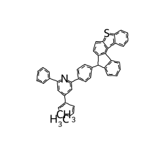 C/C=C\C(=C/C)c1cc(-c2ccccc2)nc(-c2ccc(C3c4ccccc4-c4c3ccc3sc5ccccc5c43)cc2)c1